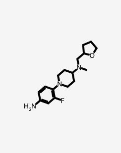 CN(CC1CCCO1)C1CCN(c2ccc(N)cc2F)CC1